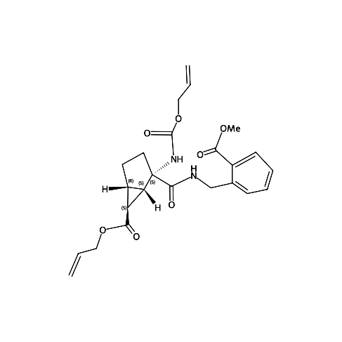 C=CCOC(=O)N[C@@]1(C(=O)NCc2ccccc2C(=O)OC)CC[C@H]2[C@H](C(=O)OCC=C)[C@H]21